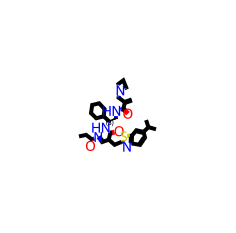 C=C(CN1CCC1)C(=O)NC[C@@H](NC(=O)C(C=NC(=O)CC)Cc1nc2ccc(C(C)C)cc2s1)C1CCCCC1